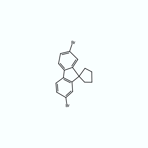 Brc1ccc2c(c1)C1(CCCC1)c1cc(Br)ccc1-2